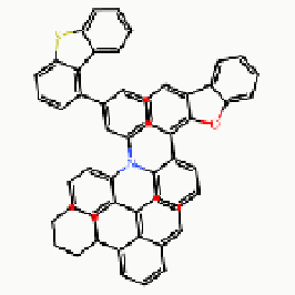 c1cc(-c2cccc3sc4ccccc4c23)cc(N(c2ccccc2-c2cccc3c2oc2ccccc23)c2ccccc2-c2cccc3cccc(C4CCCCC4)c23)c1